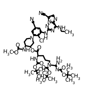 CCNc1nc(Nc2cc(C#N)cc(N3CCC(NC(=O)OC)C(OC(=O)C(CCCN(C(=O)OC(C)(C)C)/C(N)=N/C(=O)OC(C)(C)C)NC(=O)OC(C)(C)C)C3)c2Cl)nn2c(C#N)cnc12